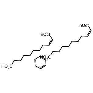 CCCCCCCC/C=C\CCCCCCCC(=O)O.CCCCCCCC/C=C\CCCCCCCC(=O)O.c1ccccc1